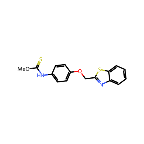 COC(=S)Nc1ccc(OCc2nc3ccccc3s2)cc1